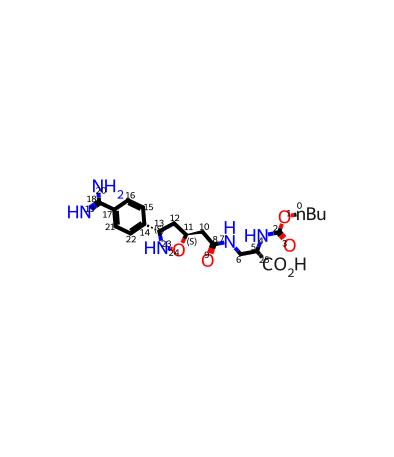 CCCCOC(=O)NC(CNC(=O)C[C@@H]1C[C@@H](c2ccc(C(=N)N)cc2)NO1)C(=O)O